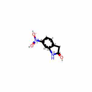 O=C1Cc2ccc([N+](=O)[O-])cc2N1